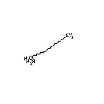 CCCCCCCCCCCCCCCCCCCCCC(C)CN